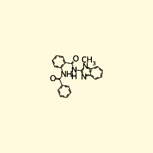 Cn1c(NC(=O)c2ccccc2NC(=O)c2ccccc2)nc2ccccc21